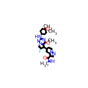 CNC(=O)c1cnn2ccc(-c3c(F)cn4nc(NC5CCC(C)(OC)CC5)nc(OC)c34)cc12